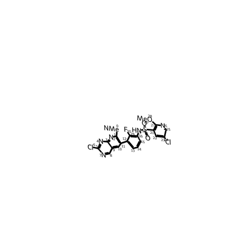 CNc1nc2nc(Cl)ncc2cc1-c1cccc(NS(=O)(=O)c2cc(Cl)cnc2OC)c1F